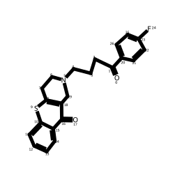 O=C(CCCN1CCc2sc3ccccc3c(=O)c2C1)c1ccc(F)cc1